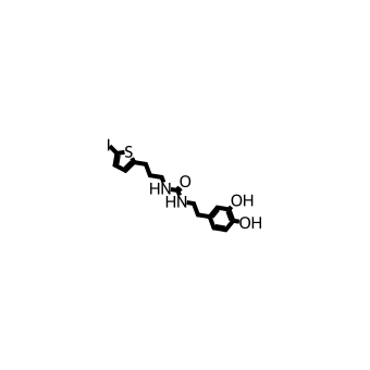 O=C(NCCCc1ccc(I)s1)NCCc1ccc(O)c(O)c1